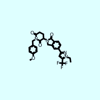 CCn1nc(-c2ccc3c(c2)CN(C2CCC(=O)N(Cc4ccc(OC)cc4)C2=O)C3=O)cc1C(F)(F)F